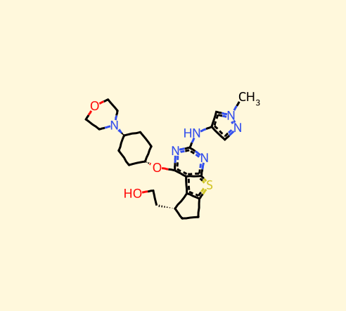 Cn1cc(Nc2nc(O[C@H]3CC[C@H](N4CCOCC4)CC3)c3c4c(sc3n2)CC[C@@H]4CCO)cn1